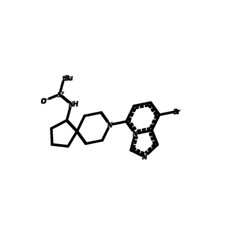 CC(C)(C)[S+]([O-])NC1CCCC12CCN(c1ccc(Br)c3cncn13)CC2